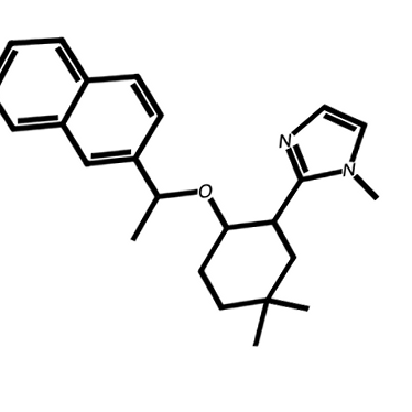 CC(OC1CCC(C)(C)CC1c1nccn1C)c1ccc2ccccc2c1